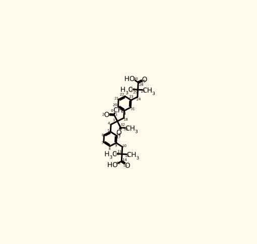 CC(=O)C(Cc1cccc(CC(C)(C)C(=O)O)c1)(Cc1cccc(CC(C)(C)C(=O)O)c1)C(C)=O